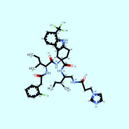 CCC(C)[C@H](NC(=O)Cc1ccccc1F)C(=O)N[C@]1(C(=O)NC(CNC(=O)CCn2ccnc2)[C@@H](C)CC)CCc2[nH]c3c(C(F)(F)F)cccc3c2C1